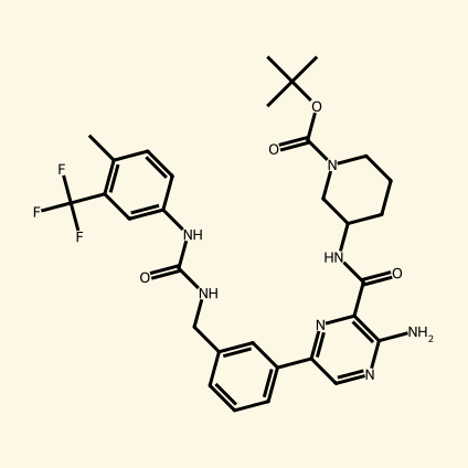 Cc1ccc(NC(=O)NCc2cccc(-c3cnc(N)c(C(=O)NC4CCCN(C(=O)OC(C)(C)C)C4)n3)c2)cc1C(F)(F)F